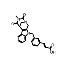 CN1C(=O)C2CN(Cc3c2c2ccccc2n3Cc2cccc(/C=C/C(=O)O)c2)C1=O